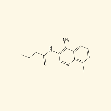 CCCC(=O)Nc1cnc2c(I)cccc2c1N